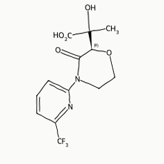 CC(O)(C(=O)O)[C@H]1OCCN(c2cccc(C(F)(F)F)n2)C1=O